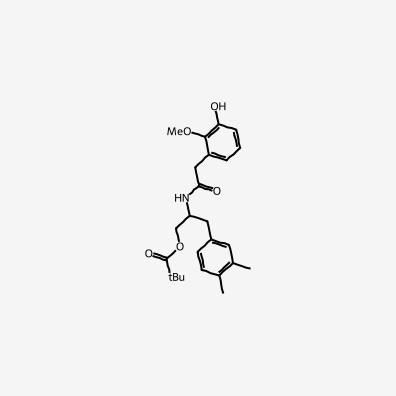 COc1c(O)cccc1CC(=O)NC(COC(=O)C(C)(C)C)Cc1ccc(C)c(C)c1